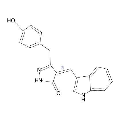 O=C1NN=C(Cc2ccc(O)cc2)/C1=C/c1c[nH]c2ccccc12